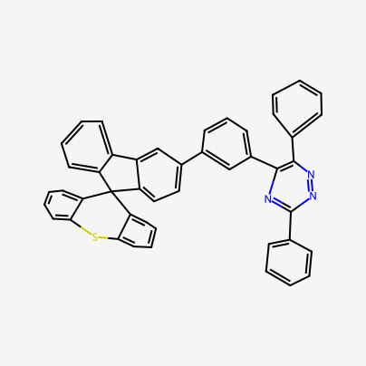 c1ccc(-c2nnc(-c3ccccc3)c(-c3cccc(-c4ccc5c(c4)-c4ccccc4C54c5ccccc5Sc5ccccc54)c3)n2)cc1